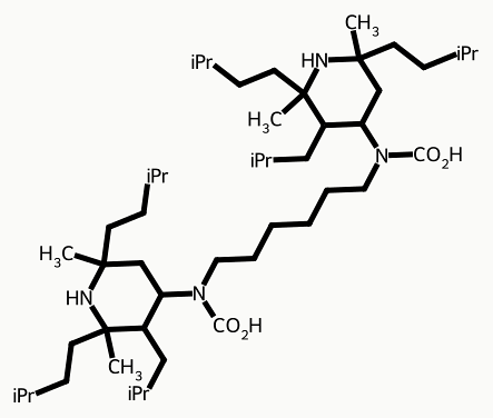 CC(C)CCC1(C)CC(N(CCCCCCN(C(=O)O)C2CC(C)(CCC(C)C)NC(C)(CCC(C)C)C2CC(C)C)C(=O)O)C(CC(C)C)C(C)(CCC(C)C)N1